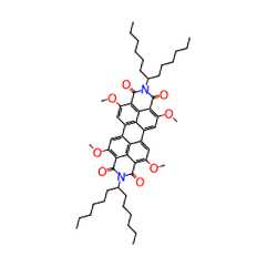 CCCCCCC(CCCCCC)N1C(=O)c2c(OC)cc3c4cc(OC)c5c6c(c(OC)cc(c7cc(OC)c(c2c37)C1=O)c64)C(=O)N(C(CCCCCC)CCCCCC)C5=O